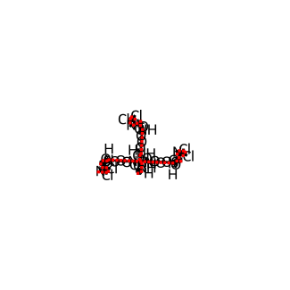 CN1Cc2c(Cl)cc(Cl)cc2[C@H](c2cccc(S(=O)(=O)NCCOCCOCCOCCNC(=O)CCC(CCC(=O)NCCOCCOCCOCCNS(=O)(=O)c3cccc([C@@H]4CN(C)Cc5c(Cl)cc(Cl)cc54)c3)(CCC(=O)NCCOCCOCCOCCNS(=O)(=O)c3cccc([C@@H]4CN(C)Cc5c(Cl)cc(Cl)cc54)c3)NC(=O)Nc3ccccc3)c2)C1